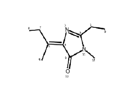 CCC1=N/C(=C(/C)CC)C(=O)N1C